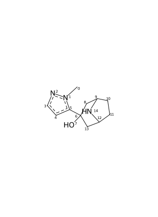 Cn1nccc1C1(O)CC2CCC(C1)N2